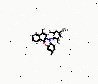 Cc1ccc2c(c1)Oc1c(cc(C)c3ccccc13)N2c1c(C)cc(C(C)(C)C)cc1C